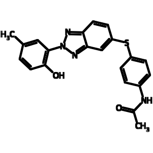 CC(=O)Nc1ccc(Sc2ccc3nn(-c4cc(C)ccc4O)nc3c2)cc1